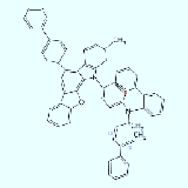 C=C(/C=C\C(=C/C)c1ccccc1)N(c1ccc(-n2c3c(c4c(C5C=CC(c6ccccc6)=CC5)cc5c6ccccc6oc5c42)C=CC(C)C3)cc1)c1ccccc1-c1ccccc1